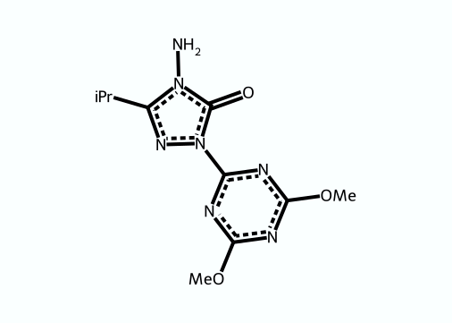 COc1nc(OC)nc(-n2nc(C(C)C)n(N)c2=O)n1